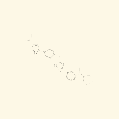 FC(F)c1nnc(-c2ccc(Cn3cc(-c4cccc(NC5CCCCC5)c4)nn3)cc2)o1